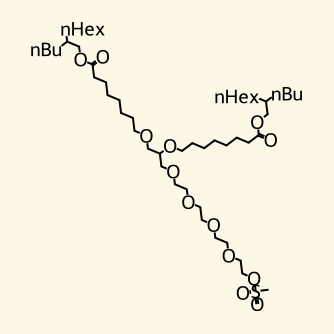 CCCCCCC(CCCC)COC(=O)CCCCCCCOCC(COCCOCCOCCOCCOS(C)(=O)=O)OCCCCCCCC(=O)OCC(CCCC)CCCCCC